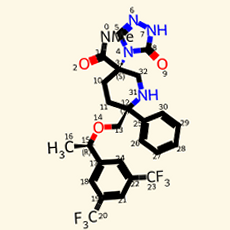 CNC(=O)[C@]1(n2cn[nH]c2=O)CC[C@@](CO[C@H](C)c2cc(C(F)(F)F)cc(C(F)(F)F)c2)(c2ccccc2)NC1